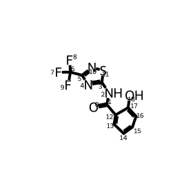 O=C(Nc1nc(C(F)(F)F)ns1)c1ccccc1O